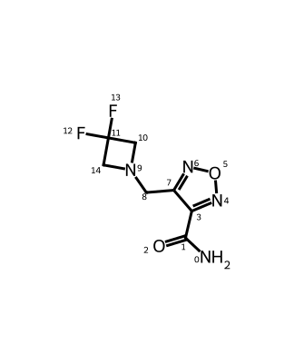 NC(=O)c1nonc1CN1CC(F)(F)C1